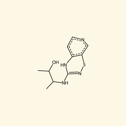 CC(O)C(C)NC1=NSc2cnccc2N1